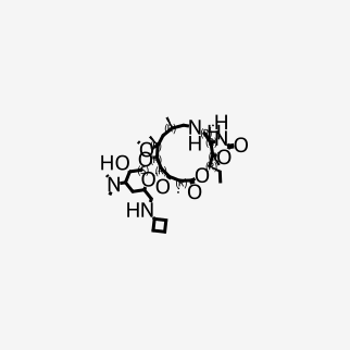 CC[C@H]1OC(=O)[C@H](C)C(=O)[C@H](C)[C@@H](O[C@@H]2OC(CNC3CCC3)CC(N(C)C)C2O)[C@](C)(OC)C[C@@H](C)CN[C@H](C)[C@H]2NC(=O)O[C@@]21C